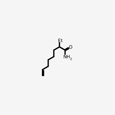 C=CCCCCC(CC)C(N)=O